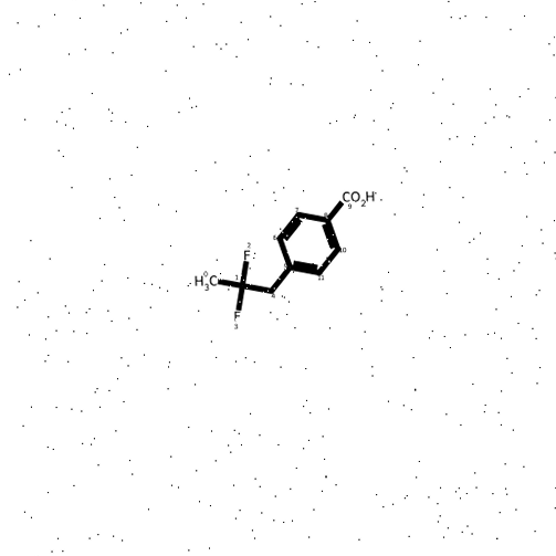 CC(F)(F)Cc1ccc(C(=O)O)cc1